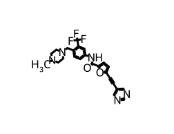 CN1CCN(Cc2ccc(NC(=O)c3ccc(C#Cc4cncnc4)o3)cc2C(F)(F)F)CC1